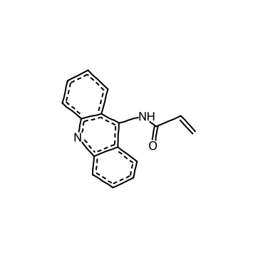 C=CC(=O)Nc1c2ccccc2nc2ccccc12